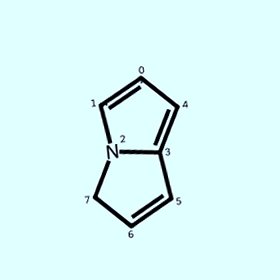 [c]1[c]n2c(c1)C=CC2